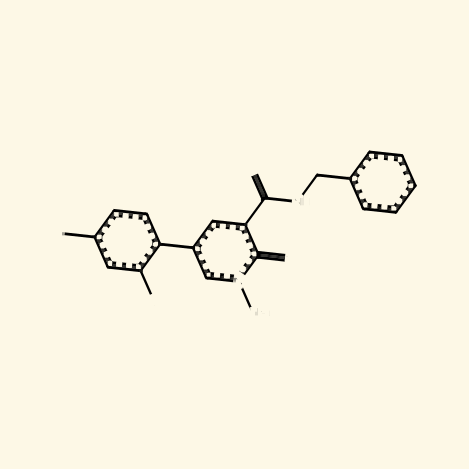 CCCCn1cc(-c2ccc(Cl)cc2Cl)cc(C(=O)NCc2ccccc2)c1=O